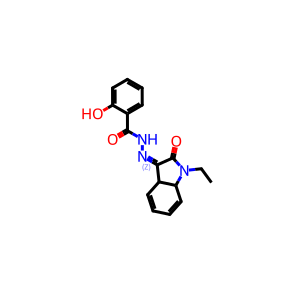 CCN1C(=O)/C(=N\NC(=O)c2ccccc2O)C2C=CC=CC21